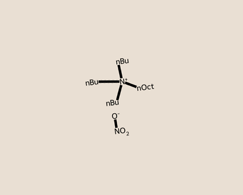 CCCCCCCC[N+](CCCC)(CCCC)CCCC.O=[N+]([O-])[O-]